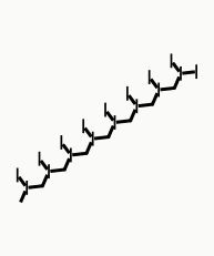 CI(I)CI(I)CI(I)CI(I)CI(I)CI(I)CI(I)CI(I)I